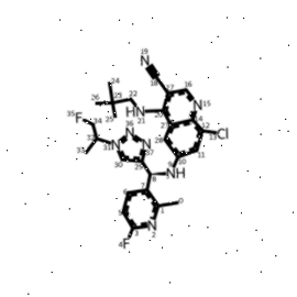 Cc1nc(F)ccc1[C@H](Nc1cc(Cl)c2ncc(C#N)c(NCC(C)(C)C)c2c1)c1cn(C(C)CF)nn1